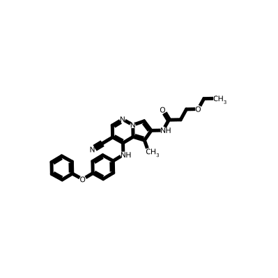 CCOCCC(=O)Nc1cn2ncc(C#N)c(Nc3ccc(Oc4ccccc4)cc3)c2c1C